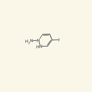 NN1C=CC(I)=CN1